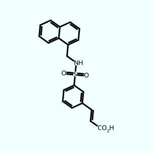 O=C(O)/C=C/c1cccc(S(=O)(=O)NCc2cccc3ccccc23)c1